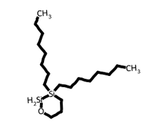 CCCCCCCC[Si]1(CCCCCCCC)CCCO[SiH2]1